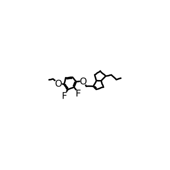 CCCC1CCC2C(COc3ccc(OCC)c(F)c3F)=CCC12